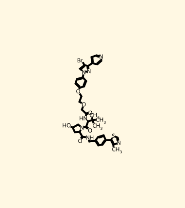 Cc1ncsc1-c1ccc(CNC(=O)C2CC(O)CN2C(=O)[C@@H](NC(=O)COCCOc2ccc(-n3cc(Br)c(-c4ccncc4)n3)cc2)C(C)(C)C)cc1